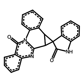 O=C1Nc2ccccc2C12C1c3ccccc3-n3c(nc4ccccc4c3=O)C12